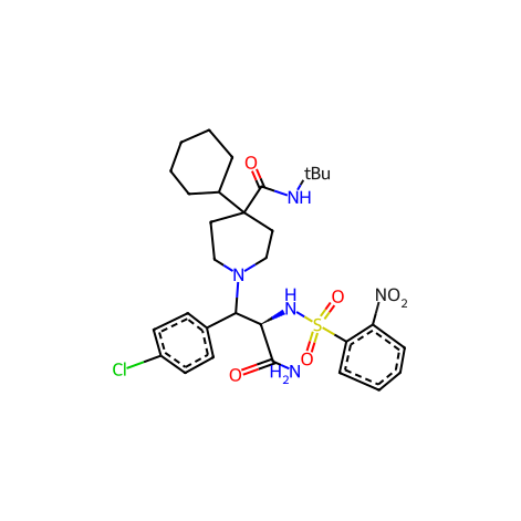 CC(C)(C)NC(=O)C1(C2CCCCC2)CCN(C(c2ccc(Cl)cc2)[C@@H](NS(=O)(=O)c2ccccc2[N+](=O)[O-])C(N)=O)CC1